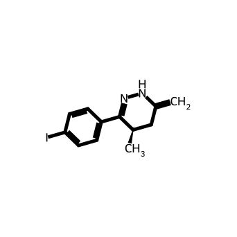 C=C1C[C@@H](C)C(c2ccc(I)cc2)=NN1